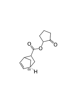 O=C1CCCC1OC(=O)C1C[C@H]2C=CC1C2